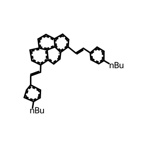 CCCCc1ccc(C=Cc2ccc3ccc4ccc(C=Cc5ccc(CCCC)cc5)c5ccc2c3c45)cc1